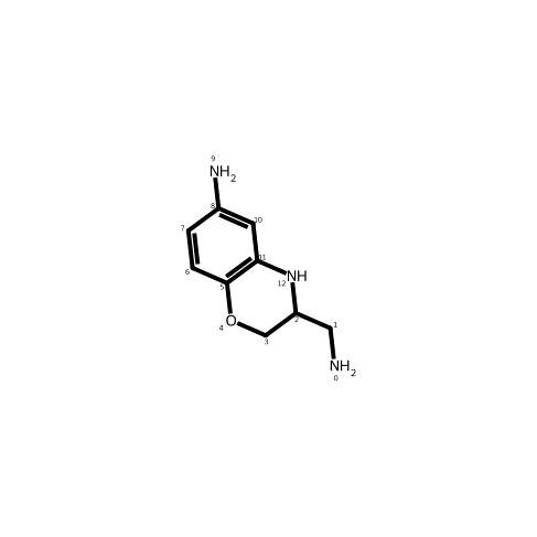 NCC1COc2ccc(N)cc2N1